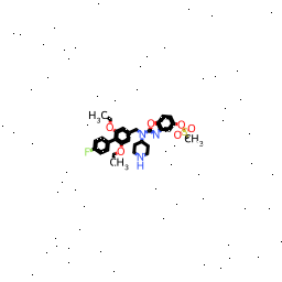 CCOc1cc(CN(c2nc3cc(OS(C)(=O)=O)ccc3o2)C2CCNCC2)cc(OCC)c1-c1ccc(F)cc1